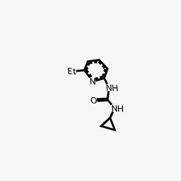 CCc1cccc(NC(=O)NC2CC2)n1